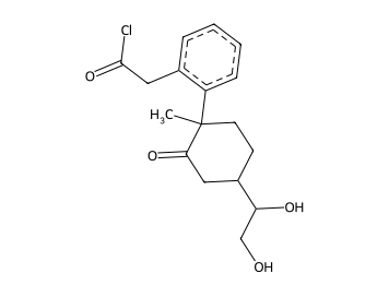 CC1(c2ccccc2CC(=O)Cl)CCC(C(O)CO)CC1=O